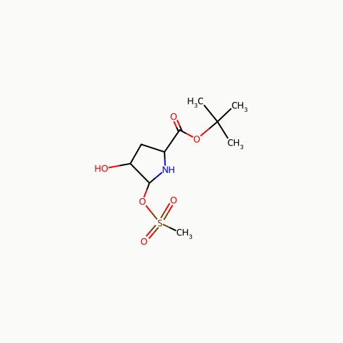 CC(C)(C)OC(=O)C1CC(O)C(OS(C)(=O)=O)N1